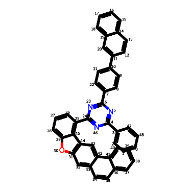 c1ccc(-c2nc(-c3ccc(-c4ccc5ccccc5c4)cc3)nc(-c3cccc4oc5cc6ccc7ccccc7c6cc5c34)n2)cc1